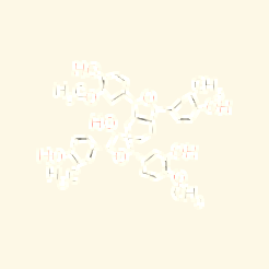 COc1ccc([C@@H]2O[C@H](c3ccc(O)c(C)c3)[C@H](O)[C@@]23CCC2=C(C3)[C@@H](c3ccc(O)c(OC)c3)O[C@H]2c2ccc(O)c(C)c2)cc1O